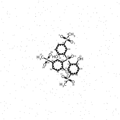 CS(=O)(=O)c1ccc(O)c(P(=O)(c2cc(S(C)(=O)=O)ccc2O)c2cc(S(C)(=O)=O)ccc2O)c1